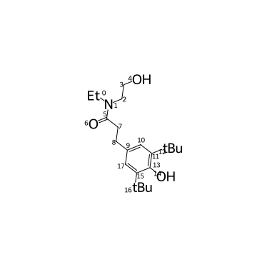 CCN(CCO)C(=O)CCc1cc(C(C)(C)C)c(O)c(C(C)(C)C)c1